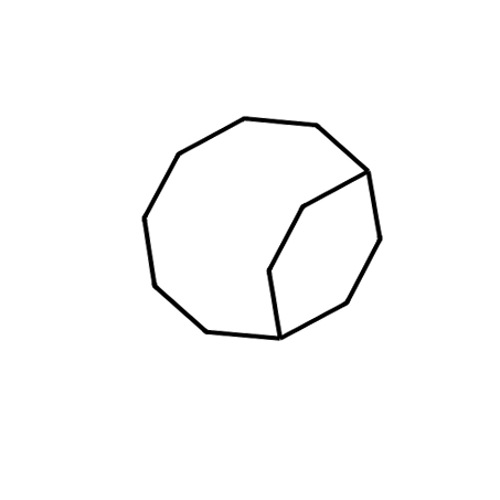 C1CCCC2CCC(CC1)CC2